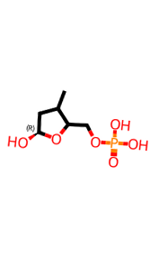 CC1C[C@H](O)OC1COP(=O)(O)O